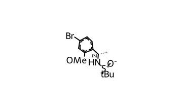 COc1cc(Br)ccc1[C@H](C)N[S+]([O-])C(C)(C)C